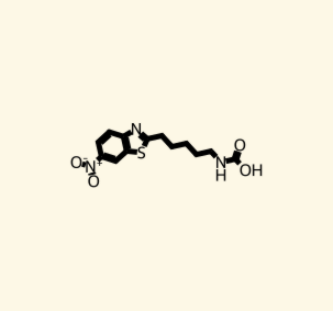 O=C(O)NCCCCCc1nc2ccc([N+](=O)[O-])cc2s1